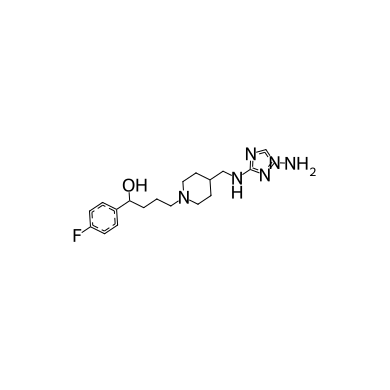 Nn1cnc(NCC2CCN(CCCC(O)c3ccc(F)cc3)CC2)n1